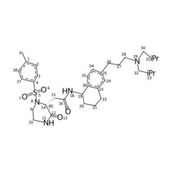 Cc1ccc(S(=O)(=O)N2CCNC(=O)[C@H]2CC(=O)NC2CCCc3cc(CCCN(CC(C)C)CC(C)C)ccc32)cc1